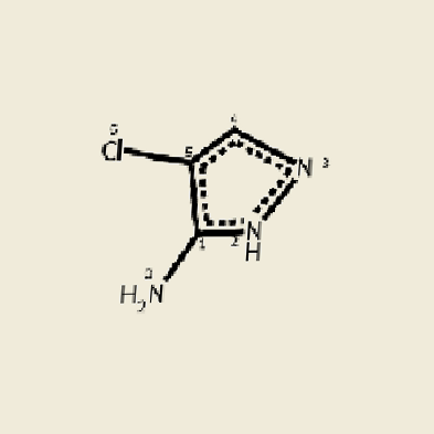 Nc1[nH]ncc1Cl